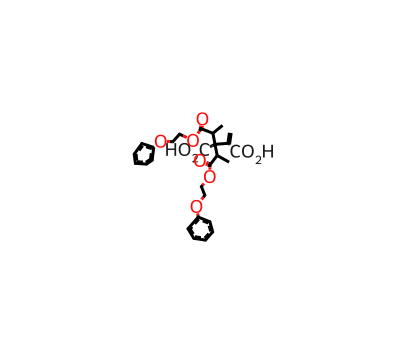 C=C(C(=O)O)C(C(=O)O)(C(C)C(=O)OCCOc1ccccc1)C(C)C(=O)OCCOc1ccccc1